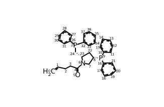 C=CCCC(=O)N1C[C@@H](P(c2ccccc2)c2ccccc2)C[C@H]1CP(c1ccccc1)c1ccccc1